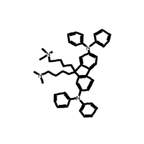 CN(C)CCCCC1(CCCC[N+](C)(C)C)c2cc(N(c3ccccc3)c3ccccc3)ccc2-c2ccc(N(c3ccccc3)c3ccccc3)cc21